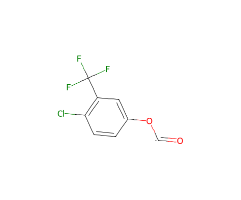 O=[C]Oc1ccc(Cl)c(C(F)(F)F)c1